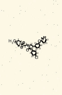 CN1CCN(S(=O)(=O)CCN2C[C@H](c3cccc(Oc4cccnn4)c3)N(c3ccc(Cl)cc3)C2=O)CC1